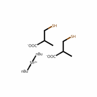 CC(CS)C(=O)[O-].CC(CS)C(=O)[O-].CCC[CH2][Sn+2][CH2]CCC